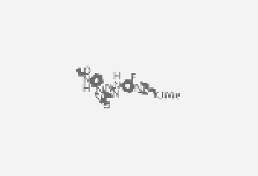 C=CC(=O)Nc1cccc(-n2cnc(=O)c3cnc(Nc4ccc(N5CCN(CCOC)CC5)c(F)c4)nc32)c1